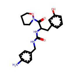 Nc1ccc(CNC(=O)NC(Cc2cccc(O)c2)C(=O)N2CCCCO2)cc1